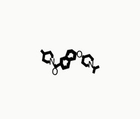 CC1CCN(C(=O)c2ccc3cc(OC4CCN(C(C)C)CC4)ccc3c2)CC1